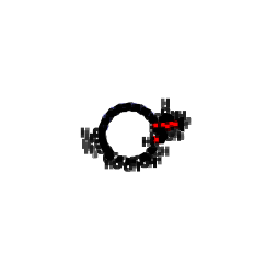 C[C@@H]1[C@H](O)[C@@H](C)/C=C/C=C/C=C/C=C/C=C/C=C/C=C/[C@H](O[C@@H]2O[C@H](C)[C@@H](O)[C@H](N)[C@@H]2O)C[C@@H]2O[C@](O)(C[C@@H](O)C[C@@H](O)[C@H](O)CC[C@@H](O)C[C@@H](O)CC(=O)O[C@H]1C)C[C@H](O)[C@H]2NC(=O)NC1CC1